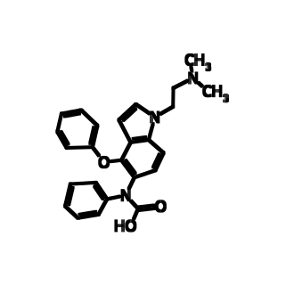 CN(C)CCn1ccc2c(Oc3ccccc3)c(N(C(=O)O)c3ccccc3)ccc21